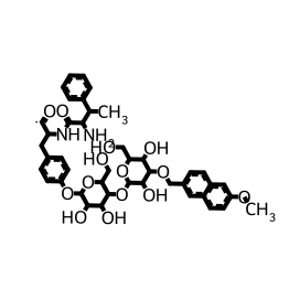 COc1ccc2cc(COC3C(O)C(CO)OC(OC4C(CO)OC(Oc5ccc(CC([C]=O)NC(=O)C(N)C(C)c6ccccc6)cc5)C(O)C4O)C3O)ccc2c1